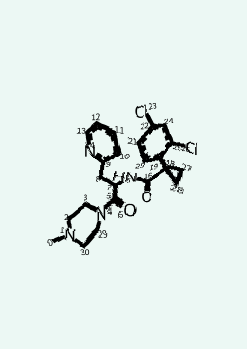 CN1CCN(C(=O)C(Cc2ccccn2)NC(=O)C2(c3ccc(Cl)cc3Cl)CC2)CC1